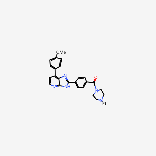 CCN1CCN(C(=O)c2ccc(-c3nc4c(-c5ccc(OC)cc5)ccnc4[nH]3)cc2)CC1